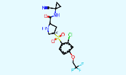 N#CC1(NC(=O)C2C[C@@H](S(=O)(=O)c3ccc(OCC(F)(F)F)cc3Cl)CN2)CC1